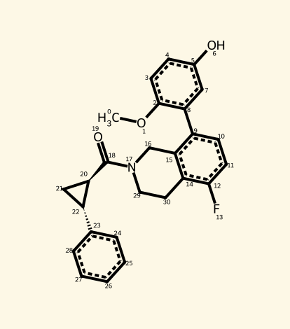 COc1ccc(O)cc1-c1ccc(F)c2c1CN(C(=O)[C@@H]1C[C@H]1c1ccccc1)CC2